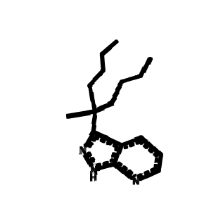 CCCCC(C)(CCCC)c1n[nH]c2ncccc12